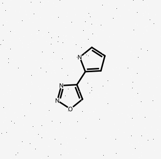 C1=C[N]C(c2conn2)=C1